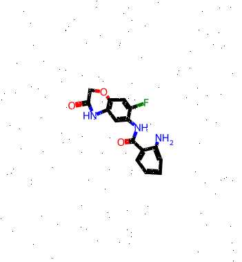 Nc1ccccc1C(=O)Nc1cc2c(cc1F)OCC(=O)N2